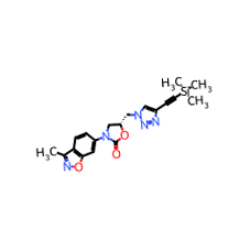 Cc1noc2cc(N3C[C@H](Cn4cc(C#C[Si](C)(C)C)nn4)OC3=O)ccc12